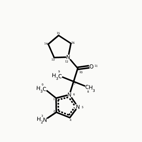 Cc1c(N)cnn1C(C)(C)C(=O)N1CCCC1